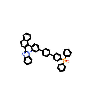 O=P(c1ccccc1)(c1ccccc1)c1ccc(-c2ccc(-c3ccc4c5c6ccccc6ccc5c5nc6ccccc6n5c4c3)cc2)cc1